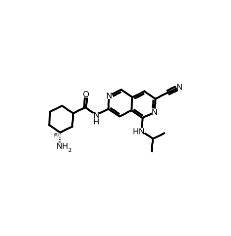 CC(C)Nc1nc(C#N)cc2cnc(NC(=O)C3CCC[C@@H](N)C3)cc12